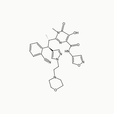 C[C@H](c1nc(C(=O)Nc2cnoc2)c(O)c(=O)n1C)[C@@H](c1cnn(CCN2CCOCC2)c1)c1ccccc1C#N